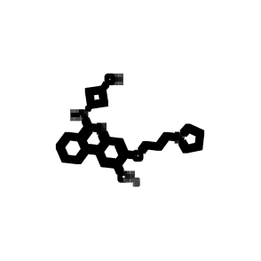 Cc1cc2c3c(c(N[C@H]4C[C@H](O)C4)nc2cc1OCCCN1CCCC1)CCCC3